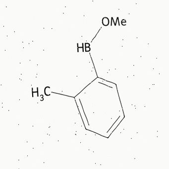 COBc1ccccc1C